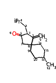 C=C1C(CC(C)C)C(=O)CC12CCC(C)CC2